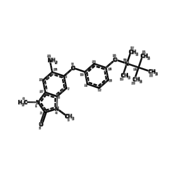 Cn1c(=O)n(C)c2cc(Oc3cccc(O[Si](C)(C)C(C)(C)C)c3)c(N)cc21